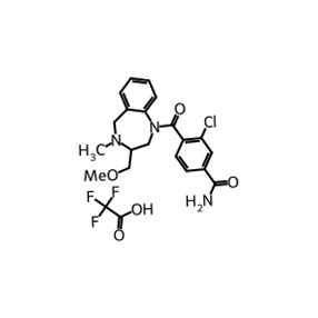 COCC1CN(C(=O)c2ccc(C(N)=O)cc2Cl)c2ccccc2CN1C.O=C(O)C(F)(F)F